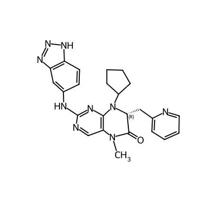 CN1C(=O)[C@@H](Cc2ccccn2)N(C2CCCC2)c2nc(Nc3ccc4[nH]nnc4c3)ncc21